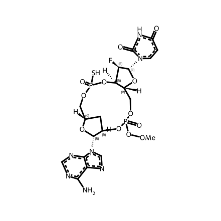 COOP1(=O)OC[C@H]2O[C@@H](n3ccc(=O)[nH]c3=O)[C@H](F)[C@@H]2OP(=O)(S)OC[C@@H]2C[C@@H](O1)[C@H](n1cnc3c(N)ncnc31)O2